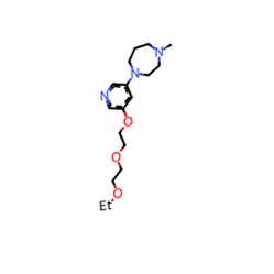 CCOCCOCCOc1cncc(N2CCCN(C)CC2)c1